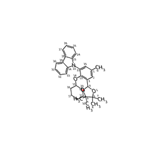 Cc1cc(C2OC(C)(C)C(C)(C)O2)c(OC2CCCCO2)c(-n2c3ccccc3c3ccccc32)c1